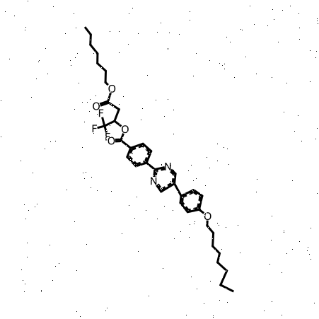 CCCCCCCCOc1ccc(-c2cnc(-c3ccc(C(=O)OC(CC(=O)OCCCCCCC)C(F)(F)F)cc3)nc2)cc1